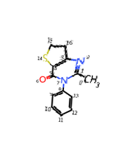 Cc1nc2c(c(=O)n1-c1ccccc1)SCC2